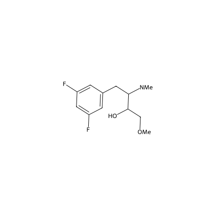 CNC(Cc1cc(F)cc(F)c1)C(O)COC